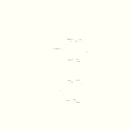 O=Cc1ccc(Sc2ccc(Cl)c(Cl)c2)cc1Br